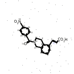 O=C(O)/C=C/c1cccc2c1CCN(C(=O)c1ccc([N+](=O)[O-])cc1)C2